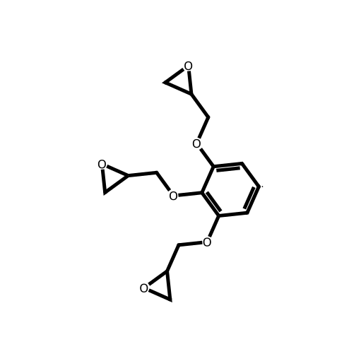 [c]1cc(OCC2CO2)c(OCC2CO2)c(OCC2CO2)c1